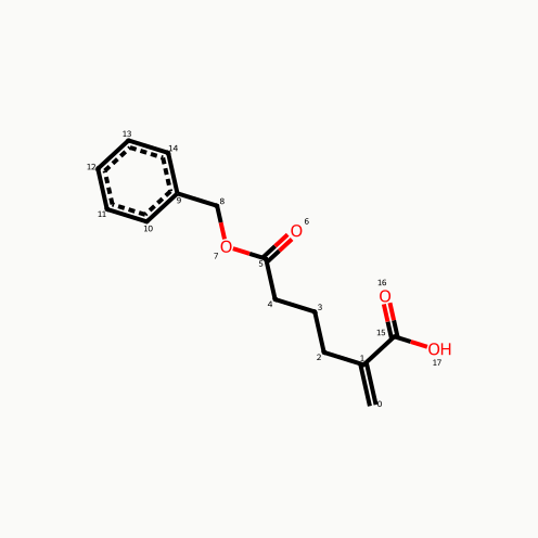 C=C(CCCC(=O)OCc1ccccc1)C(=O)O